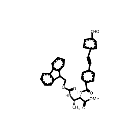 COC(=O)[C@@H](NC(=O)c1ccc(C#Cc2ccc(C=O)cc2)cc1)[C@@H](C)NC(=O)OCC1c2ccccc2-c2ccccc21